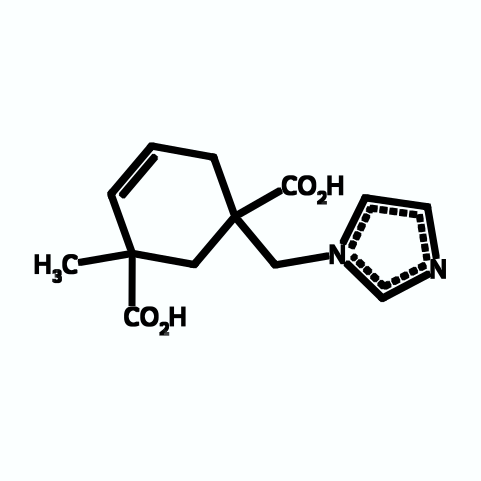 CC1(C(=O)O)C=CCC(Cn2ccnc2)(C(=O)O)C1